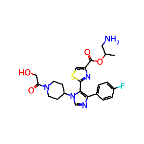 CC(CN)OC(=O)c1csc(-c2c(-c3ccc(F)cc3)ncn2C2CCN(C(=O)CO)CC2)n1